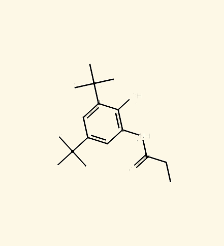 CCC(=O)Nc1cc(C(C)(C)C)cc(C(C)(C)C)c1O